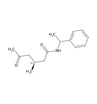 CC(=O)C[C@H](C)CC(=O)NC(C)c1ccccc1